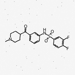 CN1CCC(C(=O)c2cccc(NS(=O)(=O)c3ccc(F)c(F)c3)c2)CC1